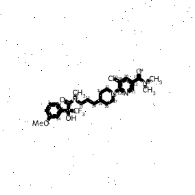 COc1cccc(C(O)(C(=O)N(C)CCCC2CCN(c3ncc(C(=O)N(C)C)cc3Cl)CC2)C(F)(F)F)c1